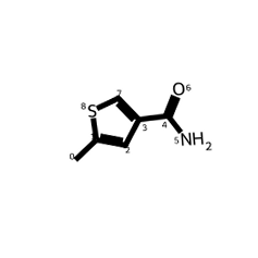 Cc1cc(C(N)=O)[c]s1